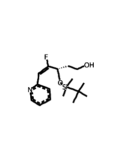 CC(C)(C)[Si](C)(C)O[C@@H](CCO)/C(F)=C\c1ccccn1